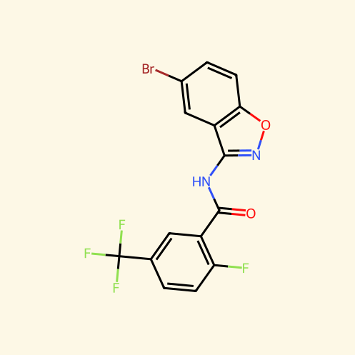 O=C(Nc1noc2ccc(Br)cc12)c1cc(C(F)(F)F)ccc1F